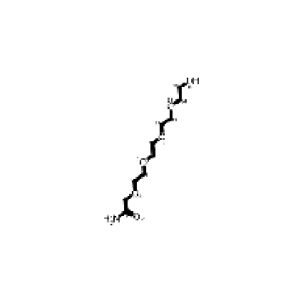 NC(=O)COCCOCCOCCOCCO